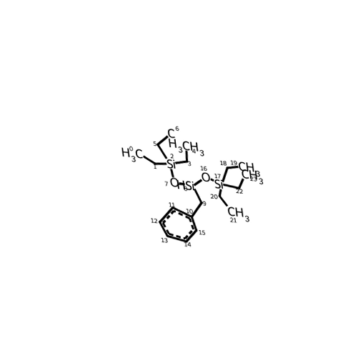 CC[Si](CC)(CC)O[SiH](Cc1ccccc1)O[Si](CC)(CC)CC